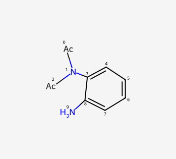 CC(=O)N(C(C)=O)c1ccccc1N